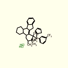 Cl.Cl.[CH2]=[Zr]([C]1=CC=CC1)([c]1cccc(C(F)(F)F)c1)[C]1(C)C2=C3Cc4ccccc4C3C3CCCCC3C2CC(C)C1(C)C